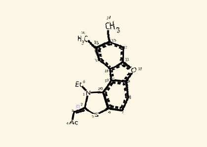 CCN1/C(=C/C(C)=O)Sc2ccc3oc4cc(C)c(C)cc4c3c21